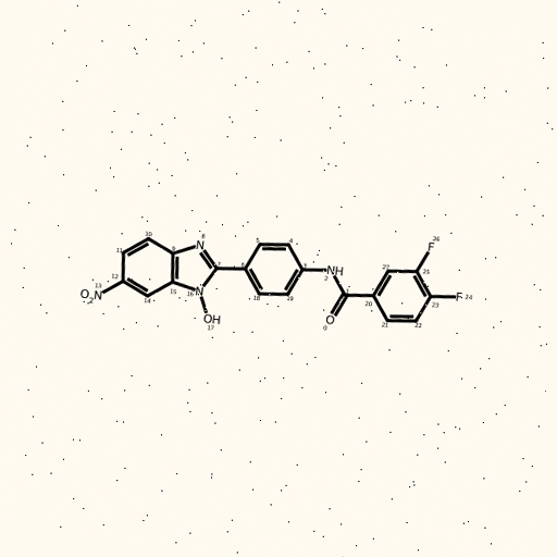 O=C(Nc1ccc(-c2nc3ccc([N+](=O)[O-])cc3n2O)cc1)c1ccc(F)c(F)c1